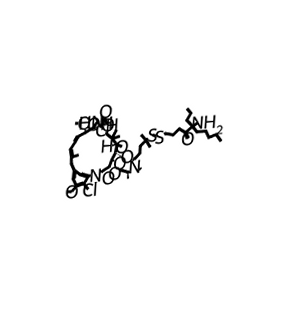 CCCCCC(N)(CCC)C(=O)CCCSSC(C)(C)CCC(=O)N(C)[C@@H](C)C(=O)O[C@H]1CC(=O)N(C)c2cc(cc(OC)c2Cl)C/C(C)=C/C=C/[C@@H](OC)[C@@]2(O)C[C@H](OC(=O)N2)C(C)(C)[C@@H]2O[C@@]12C